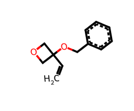 C=CC1(OCc2ccccc2)COC1